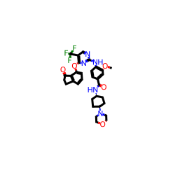 COc1cc(C(=O)N[C@H]2CC[C@H](N3CCOCC3)CC2)ccc1Nc1ncc(C(F)(F)F)c(Oc2cccc3c2C(=O)CC3)n1